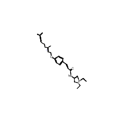 CCN1CC(NC(=O)C=Cc2ccc(OC/C=C(\C)CCC=C(C)C)cc2)CN1CC